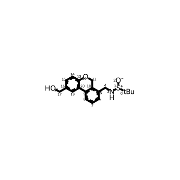 CC(C)(C)[S+]([O-])NCc1cccc2c1COc1ccc(CO)cc1-2